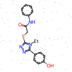 CCn1c(SCC(=O)Nc2ccccc2)nnc1-c1ccc(O)cc1